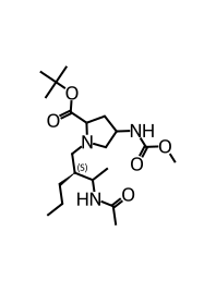 CCC[C@@H](CN1CC(NC(=O)OC)CC1C(=O)OC(C)(C)C)C(C)NC(C)=O